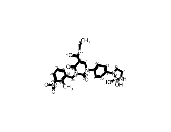 CCOC(=O)c1cn(-c2ccc(N3CCNS3(O)O)cc2)c(=O)n(Cc2cccc([N+](=O)[O-])c2C)c1=O